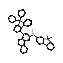 CC1(C)c2ccccc2-c2ccc(Nc3cc(-c4cccc5c4-c4ccccc4C5(c4ccccc4)c4ccccc4)c4ccc5ccccc5c4c3)cc21